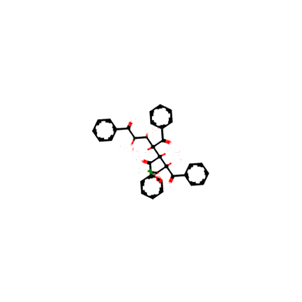 O=C(c1ccccc1)C(O)C(O)C(O)(C(=O)c1ccccc1)C(O)(C(=O)c1ccccc1)C(O)(C(=O)Br)C(=O)c1ccccc1